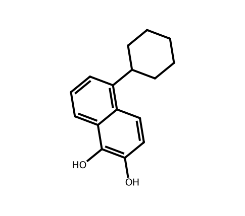 Oc1ccc2c(C3CCCCC3)cccc2c1O